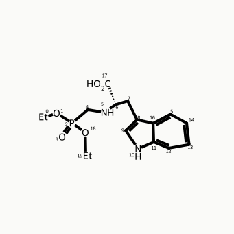 CCOP(=O)(CN[C@@H](Cc1c[nH]c2ccccc12)C(=O)O)OCC